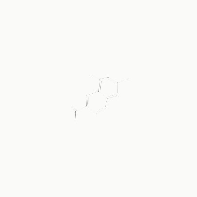 Cc1cc(Cl)c2cc(C(=O)Cl)ccc2n1